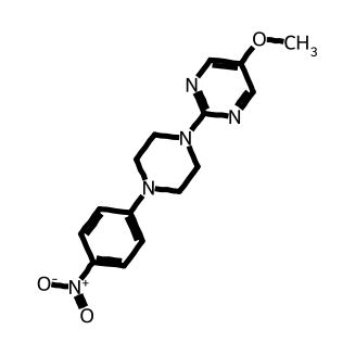 COc1cnc(N2CCN(c3ccc([N+](=O)[O-])cc3)CC2)nc1